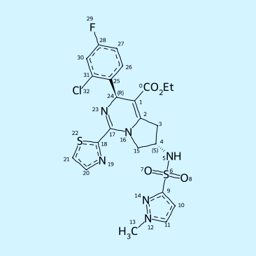 CCOC(=O)C1=C2C[C@H](NS(=O)(=O)c3ccn(C)n3)CN2C(c2nccs2)=N[C@H]1c1ccc(F)cc1Cl